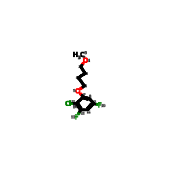 COCCCCOc1cc(F)cc(F)c1Cl